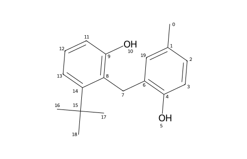 Cc1ccc(O)c(Cc2c(O)cccc2C(C)(C)C)c1